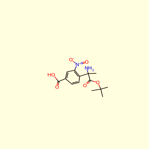 CC(C)(C)OC(=O)C(C)(N)c1ccc(C(=O)O)cc1[N+](=O)[O-]